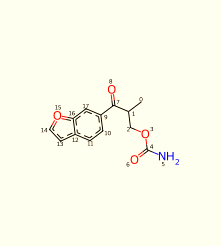 CC(COC(N)=O)C(=O)c1ccc2ccoc2c1